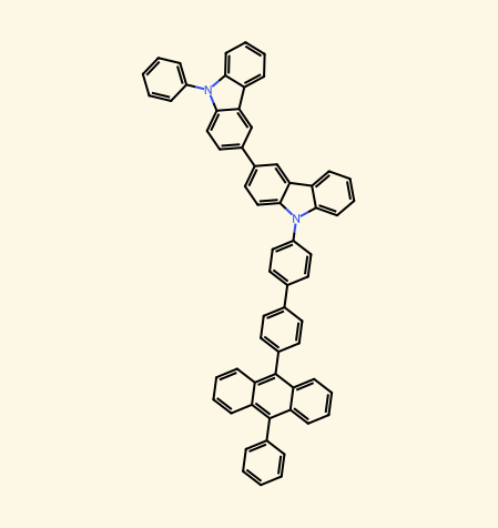 c1ccc(-c2c3ccccc3c(-c3ccc(-c4ccc(-n5c6ccccc6c6cc(-c7ccc8c(c7)c7ccccc7n8-c7ccccc7)ccc65)cc4)cc3)c3ccccc23)cc1